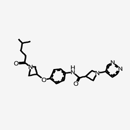 CC(C)CCC(=O)N1CC(Oc2ccc(NC(=O)C3CN(c4ccnnc4)C3)cc2)C1